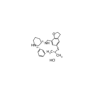 CC(C)Sc1cc2c(c(CN[C@H]3CCCN[C@H]3c3ccccc3)c1)OCC2.Cl